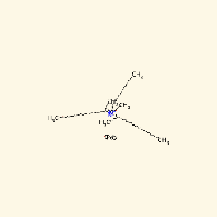 CCCCCCCCCCCCCCCCCCCCCCC#CC1=C(c2cc(CCCC)cc(CCCCCCCCCCCCCCCCCCCCCCCCCCCC)c2)[N+](=[N-])C(c2cc(CCCC)cc(CCCCCCCCCCCCCCCCCCCCCCCCCCCC)c2)=C1CCCCCC.c1cc[c]([Pd][c]2ccccc2)cc1